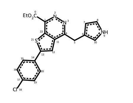 CCOC(=O)c1nnc(Cc2cc[nH]c2)c2cc(-c3ccc(Cl)cc3)sc12